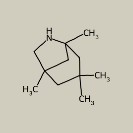 CC1(C)CC2(C)CNC(C)(C1)C2